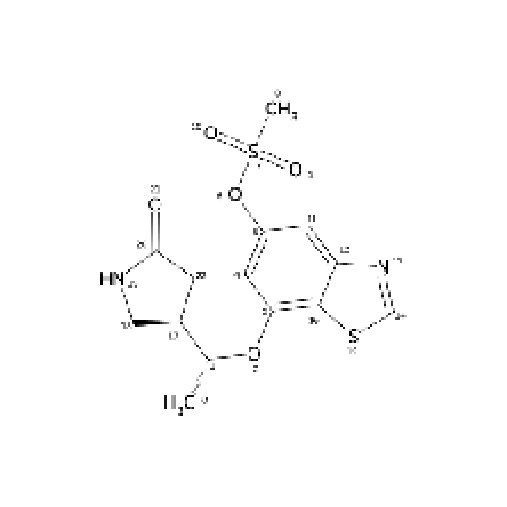 C[C@@H](Oc1cc(OS(C)(=O)=O)cc2ncsc12)[C@H]1CNC(=O)C1